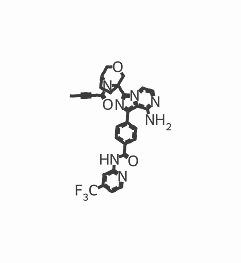 CC#CC(=O)N1C2CCC1(c1nc(-c3ccc(C(=O)Nc4cc(C(F)(F)F)ccn4)cc3)c3c(N)nccn13)COC2